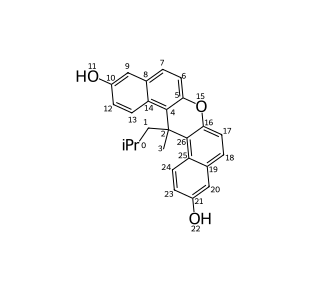 CC(C)CC1(C)c2c(ccc3cc(O)ccc23)Oc2ccc3cc(O)ccc3c21